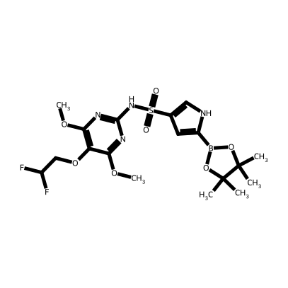 COc1nc(NS(=O)(=O)c2c[nH]c(B3OC(C)(C)C(C)(C)O3)c2)nc(OC)c1OCC(F)F